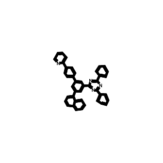 c1ccc(-c2nc(-c3ccccc3)nc(-c3cc(-c4ccc(-c5ccccn5)cc4)cc(-c4cccc5ccccc45)c3)n2)cc1